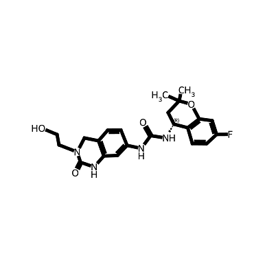 CC1(C)C[C@@H](NC(=O)Nc2ccc3c(c2)NC(=O)N(CCO)C3)c2ccc(F)cc2O1